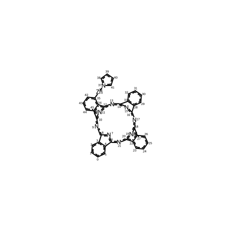 c1ccc2c(c1)-c1nc-2nc2[nH]c(nc3nc(nc4[nH]c(n1)c1ccccc41)-c1ccccc1-3)c1[c]([Zn][n]3cccc3)cccc21